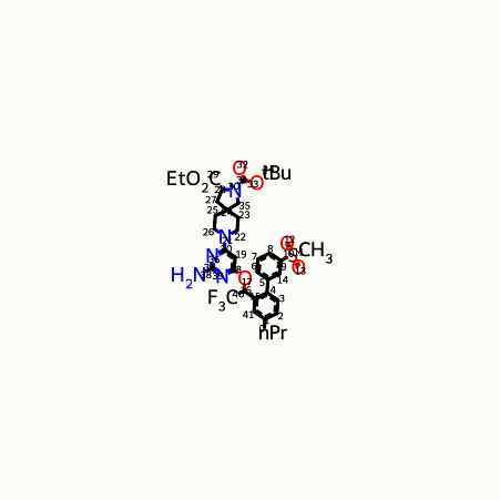 CCCc1ccc(-c2cccc(S(C)(=O)=O)c2)c(C(Oc2cc(N3CCC4(CC3)C[C@@H](C(=O)OCC)N(C(=O)OC(C)(C)C)C4)nc(N)n2)C(F)(F)F)c1